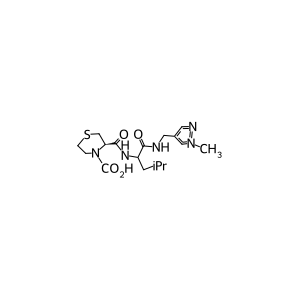 CC(C)CC(NC(=O)[C@@H]1CSCCN1C(=O)O)C(=O)NCc1cnn(C)c1